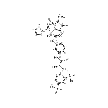 CCC(Oc1ccc(C(C)(C)CC)cc1C(C)(C)CC)C(=O)Nc1cccc(NC(=O)C(Cl)(C(=O)c2ccco2)N2C(=O)C(OC)N(C)C2=O)c1